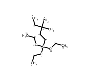 CCO[Si](CCC(C)(P)CC)(OCC)OCC